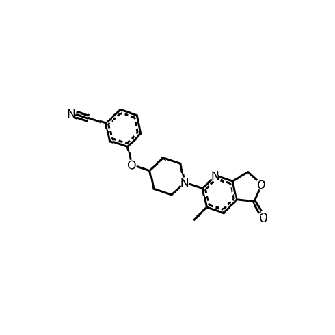 Cc1cc2c(nc1N1CCC(Oc3cccc(C#N)c3)CC1)COC2=O